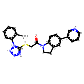 O=C(O)c1ccccc1-n1nnnc1SCC(=O)N1CCc2cc(-c3cccnc3)ccc21